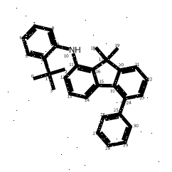 CC(C)(C)c1ccccc1Nc1cccc2c1C(C)(C)c1cccc(-c3ccccc3)c1-2